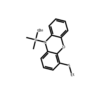 CCSc1cccc2c1Oc1ccccc1N2[Si](C)(C)C(C)(C)C